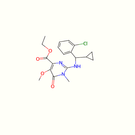 CCOC(=O)c1nc(NC(c2ccccc2Cl)C2CC2)n(C)c(=O)c1OC